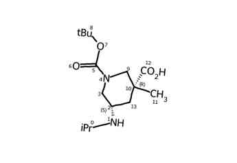 CC(C)N[C@@H]1CN(C(=O)OC(C)(C)C)C[C@](C)(C(=O)O)C1